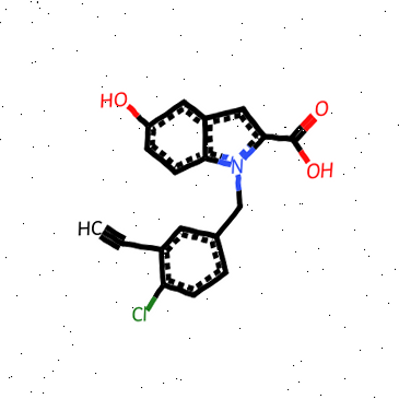 C#Cc1cc(Cn2c(C(=O)O)cc3cc(O)ccc32)ccc1Cl